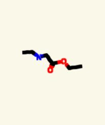 CC[N]CC(=O)OCC